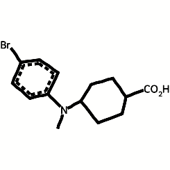 CN(c1ccc(Br)cc1)C1CCC(C(=O)O)CC1